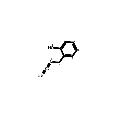 Oc1ccccc1CN=C=S